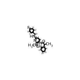 CC(C(=O)Nc1ccc(NCc2ccc(F)cc2)nc1N(C)C)c1ccccc1